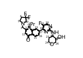 CC(C)n1c(CN2CCC(F)(F)C2)cc(=O)c2ccc(-c3nc(N[C@@H]4CCOC[C@H]4O)ncc3F)cc21